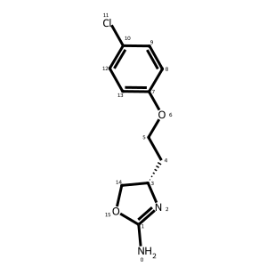 NC1=N[C@@H](CCOc2ccc(Cl)cc2)CO1